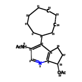 CC(=O)Nc1cnc2c(c1C1CCCCCCCC1)CCC2OC(C)=O